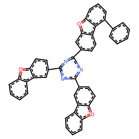 c1ccc(-c2cccc3oc4cc(-c5nc(-c6ccc7oc8ccccc8c7c6)nc(-c6ccc7oc8ccccc8c7c6)n5)ccc4c23)cc1